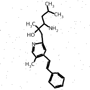 Cc1cnc(CC(C)(O)C(N)CC(C)C)cc1/C=C/c1ccccc1